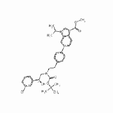 COC(=O)c1cn(C(C)C)c2cc(-c3ccc(CCN(C[C@@H](O)c4cccc(Cl)c4)C(=O)OC(C)(C)C)cc3)ccc12